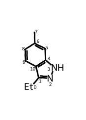 CCc1n[nH]c2cc(C)ccc12